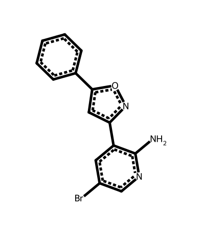 Nc1ncc(Br)cc1-c1cc(-c2ccccc2)on1